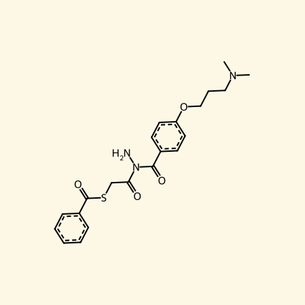 CN(C)CCCOc1ccc(C(=O)N(N)C(=O)CSC(=O)c2ccccc2)cc1